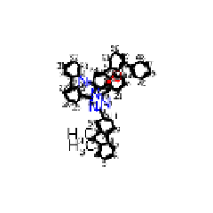 CC1(C)c2ccccc2-c2ccc(-c3nc(-c4ccccc4)nc(-c4cccc5c6ccccc6n(-c6ccc7oc8c(-c9ccccc9)cccc8c7c6)c45)n3)cc21